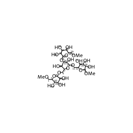 COCC1OC(OCC2OC(OCC3OC(OC)C(O)C(O)C3O)C(O)C(OC3OC(COC)C(O)C(O)C3O)C2O)C(O)C(O)C1O